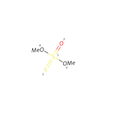 COS(=O)(=S)OC